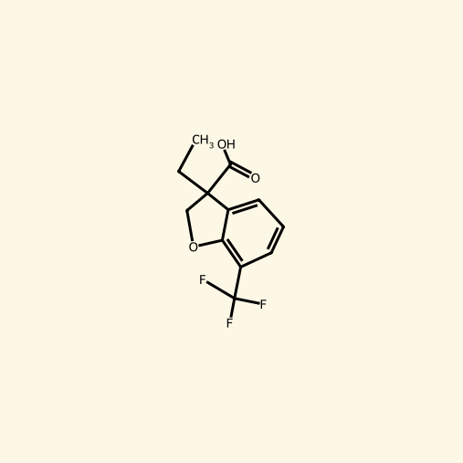 CCC1(C(=O)O)COc2c(C(F)(F)F)cccc21